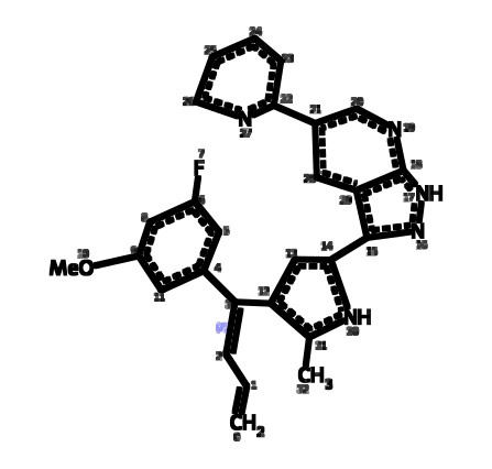 C=C/C=C(/c1cc(F)cc(OC)c1)c1cc(-c2n[nH]c3ncc(-c4ccccn4)cc23)[nH]c1C